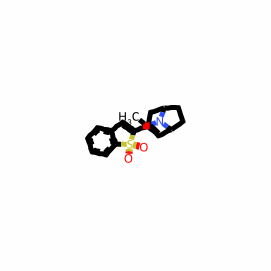 CCN1C2C=C(C3=Cc4ccccc4S3(=O)=O)CC1CC2